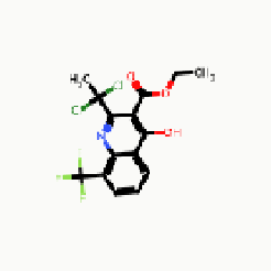 CCOC(=O)c1c(C(C)(Cl)Cl)nc2c(C(F)(F)F)cccc2c1O